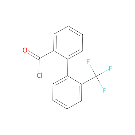 O=C(Cl)c1ccccc1-c1ccccc1C(F)(F)F